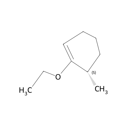 CCOC1=CCCC[C@@H]1C